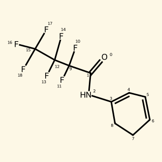 O=C(NC1=CC=CCC1)C(F)(F)C(F)(F)C(F)(F)F